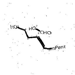 CCCCCC=CCCO.O=CO